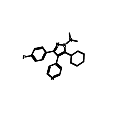 CN(C)n1nc(-c2ccc(F)cc2)c(-c2ccncc2)c1C1CCCCC1